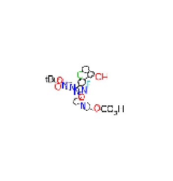 CC(C)(C)OC(=O)N1CCN(c2nc(O[C@@H]3CCC[C@H]3N3CCC(COCC(=O)O)CC3)nc3c(F)c(-c4cc(O)cc5ccccc45)c(Cl)cc23)CC1